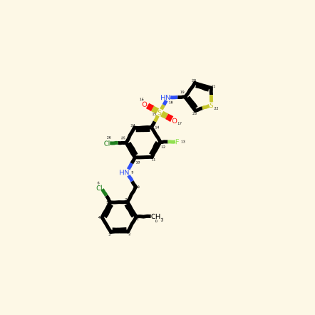 Cc1cccc(Cl)c1CNc1cc(F)c(S(=O)(=O)Nc2ccsc2)cc1Cl